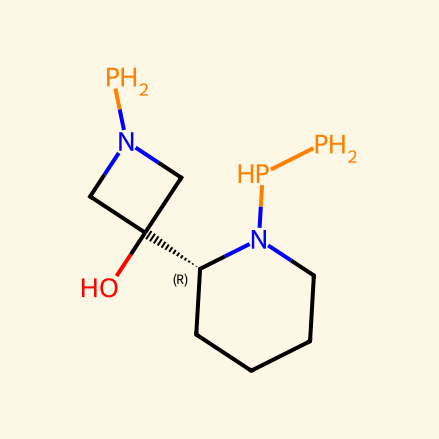 OC1([C@H]2CCCCN2PP)CN(P)C1